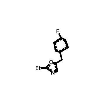 CCc1ncc(Cc2ccc(F)cc2)o1